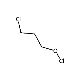 ClCCCOCl